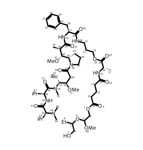 CCC(CO)OC(COC(=O)CCCC(=O)N[C@@H](C)C(=O)OCCCNC(=O)[C@H](Cc1ccccc1)NC(=O)[C@H](C)[C@@H](OC)[C@@H]1CCCN1C(=O)C[C@@H](OC)[C@H]([C@@H](C)CC)N(C)C(=O)[C@@H](NC(=O)[C@H](C(C)C)N(C)C)C(C)C)OC